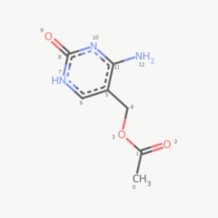 CC(=O)OCc1c[nH]c(=O)nc1N